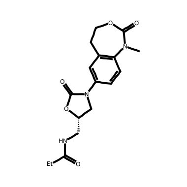 CCC(=O)NC[C@H]1CN(c2ccc3c(c2)CCOC(=O)N3C)C(=O)O1